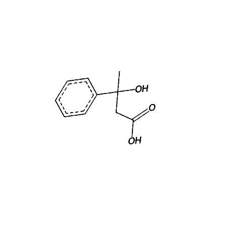 CC(O)(CC(=O)O)c1ccccc1